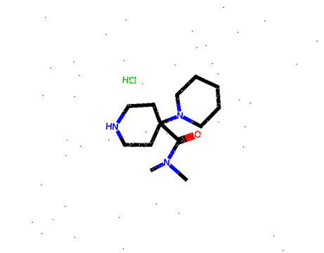 CN(C)C(=O)C1(N2CCCCC2)CCNCC1.Cl